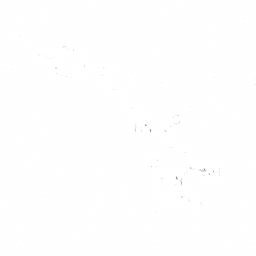 Cc1ccc(OCCCCNC(=O)CCC(=N)N2C(=O)CCC2=O)cc1